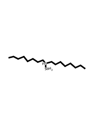 CCCCCCCC[SH]([SbH2])CCCCCCCC